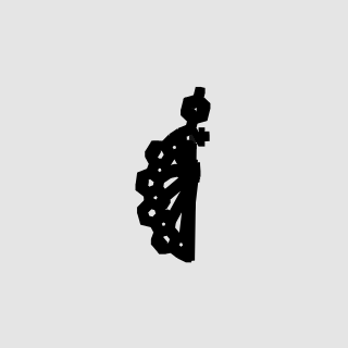 Cc1ccc(C2N(C)C(C)C34C5C6C=CC7C8CCC9c%10c8c8c%11c%12c%10C%10C9C=CC9C%13C=CC%14C%15C%16=C(C%12=C(C%13%15)C9%10)C%11=C(C6C87)C53C%163C%14C234)cc1